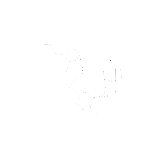 OCCn1ncc2ccc(Nc3ncc(Cl)c(N[C@H]4C5CC6CC4C[C@](O)(C6)C5)n3)cc21